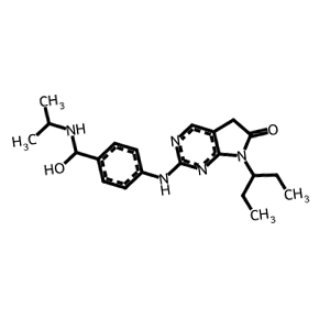 CCC(CC)N1C(=O)Cc2cnc(Nc3ccc(C(O)NC(C)C)cc3)nc21